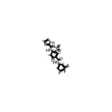 O=C(Nc1cc(F)c(F)c(F)c1)c1cc2c(cc1Cl)NC(c1nccs1)NS2(=O)=O